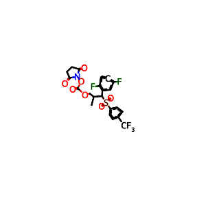 CC(COC(=O)ON1C(=O)CCC1=O)C(c1cc(F)ccc1F)S(=O)(=O)c1ccc(C(F)(F)F)cc1